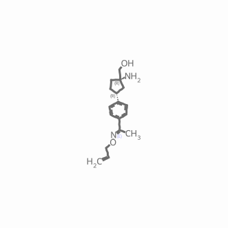 C=CCO/N=C(\C)c1ccc([C@@H]2CC[C@](N)(CO)C2)cc1